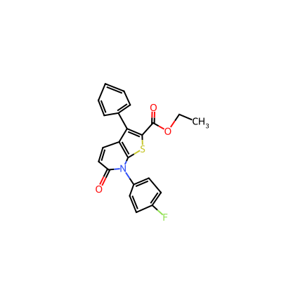 CCOC(=O)c1sc2c(ccc(=O)n2-c2ccc(F)cc2)c1-c1ccccc1